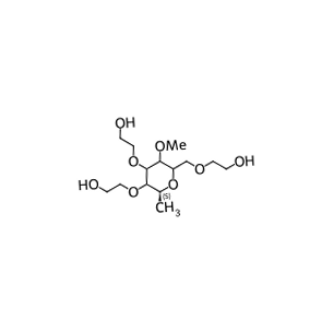 COC1C(COCCO)O[C@@H](C)C(OCCO)C1OCCO